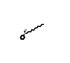 CCCCCCCCCCCN([C]=O)c1ccccc1